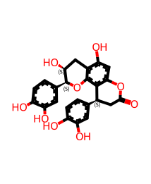 O=C1C[C@@H](c2ccc(O)c(O)c2)c2c(cc(O)c3c2O[C@@H](c2ccc(O)c(O)c2)[C@@H](O)C3)O1